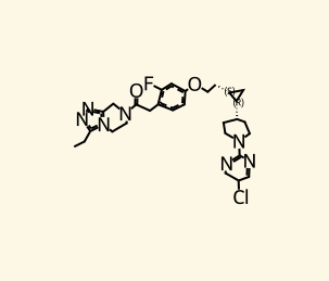 CCc1nnc2n1CCN(C(=O)Cc1ccc(OCC[C@@H]3C[C@@H]3C3CCN(C4=NCC(Cl)C=N4)CC3)cc1F)C2